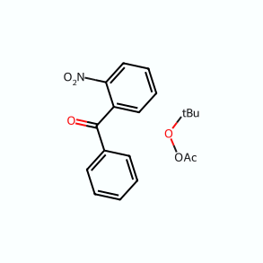 CC(=O)OOC(C)(C)C.O=C(c1ccccc1)c1ccccc1[N+](=O)[O-]